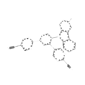 Cc1ccc2c(c1)c1ccccc1n2-c1ccc(-c2ncc(C#N)cn2)cc1-c1cnc(C#N)nc1